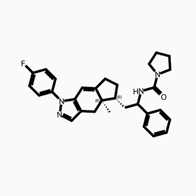 C[C@]12Cc3cnn(-c4ccc(F)cc4)c3C=C1CC[C@@H]2CC(NC(=O)N1CCCC1)c1ccccc1